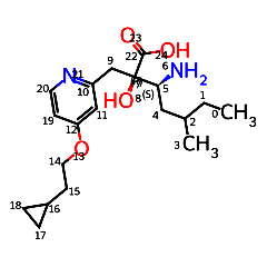 CCC(C)C[C@H](N)[C@](O)(Cc1cc(OCCC2CC2)ccn1)C(=O)O